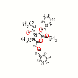 C=CC(=O)[C@@H]1C(OCc2ccccc2)[C@H](OC)OC(COCc2ccccc2)[C@@H]1C